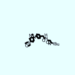 CC(C)(C)c1cc(NC(=O)Cc2ccc(-n3cnc4cc(N5CCOCC5)ccc43)cc2)on1